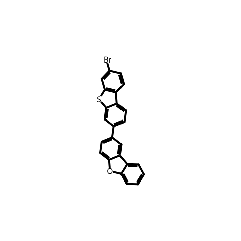 Brc1ccc2c(c1)sc1cc(-c3ccc4oc5ccccc5c4c3)ccc12